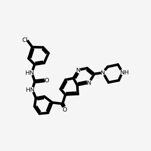 O=C(Nc1cccc(Cl)c1)Nc1cccc(C(=O)c2ccc3ncc(N4CCNCC4)nc3c2)c1